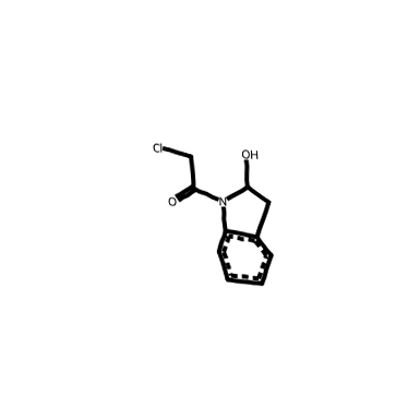 O=C(CCl)N1c2ccccc2CC1O